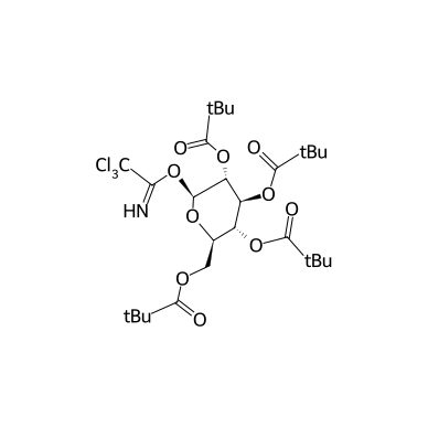 CC(C)(C)C(=O)OC[C@H]1O[C@@H](OC(=N)C(Cl)(Cl)Cl)[C@H](OC(=O)C(C)(C)C)[C@@H](OC(=O)C(C)(C)C)[C@@H]1OC(=O)C(C)(C)C